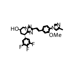 COc1cc(C=Cc2nc3n(n2)C[C@H](O)C[C@H]3c2cc(F)c(F)c(F)c2)ccc1-n1cnc(C)c1